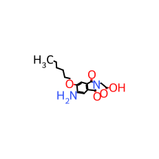 CCCCCCOc1cc2c(cc1N)C(=O)N(CC(=O)O)C2=O